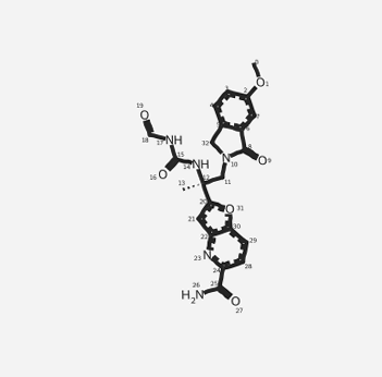 COc1ccc2c(c1)C(=O)N(C[C@](C)(NC(=O)NC=O)c1cc3nc(C(N)=O)ccc3o1)C2